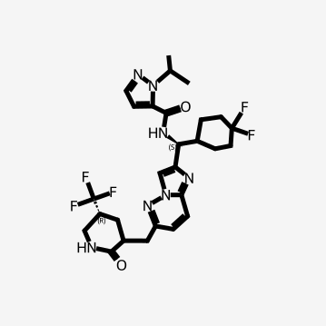 CC(C)n1nccc1C(=O)N[C@H](c1cn2nc(CC3C[C@@H](C(F)(F)F)CNC3=O)ccc2n1)C1CCC(F)(F)CC1